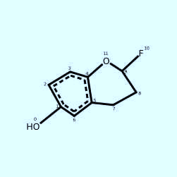 Oc1ccc2c(c1)CCC(F)O2